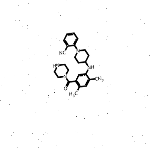 Cc1cc(C)c(C(=O)N2CCNCC2)cc1NC1CCN(c2ccccc2C#N)CC1